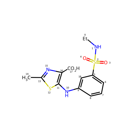 CCNS(=O)(=O)c1cccc(Nc2sc(C)nc2C(=O)O)c1